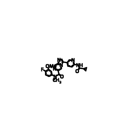 COc1cc(N(C)C(=O)c2cn3c(-c4ccc(NC(=O)C5CC5)nc4)cnc3cn2)ccc1F